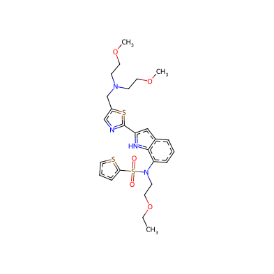 CCOCCN(c1cccc2cc(-c3ncc(CN(CCOC)CCOC)s3)[nH]c12)S(=O)(=O)c1cccs1